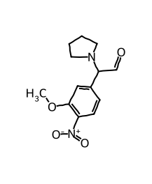 COc1cc(C(C=O)N2CCCC2)ccc1[N+](=O)[O-]